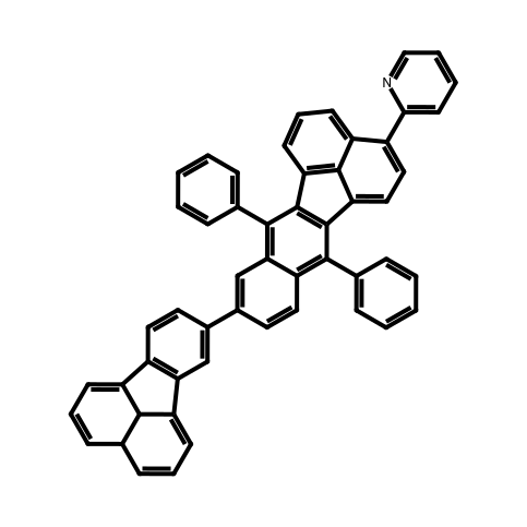 C1=CC2C=CC=C3c4cc(-c5ccc6c(-c7ccccc7)c7c(c(-c8ccccc8)c6c5)-c5cccc6c(-c8ccccn8)ccc-7c56)ccc4C(=C1)C32